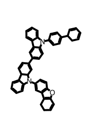 C1=CCC(c2ccc(-n3c4ccccc4c4cc(C5=CC6C(C=C5)c5ccccc5N6c5ccc6oc7c(c6c5)CCC=C7)ccc43)cc2)C=C1